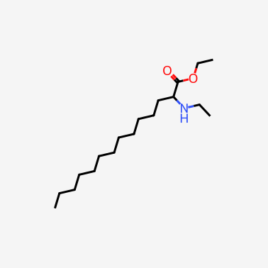 CCCCCCCCCCCCC(NCC)C(=O)OCC